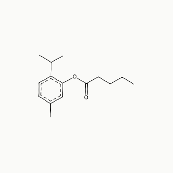 CCCCC(=O)Oc1cc(C)ccc1C(C)C